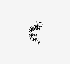 CC1(C)CCCCC(C(=O)NC2CCC(C(=O)N3CCC4NC(NC(=O)C5=C/C=C\C=C/C=C\C=C/C=C\5)SC4C4CCCCC43)CC2)CC1